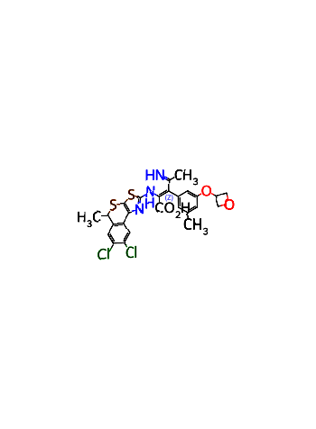 CC(=N)/C(=C(\Nc1nc2c(s1)SC(C)c1cc(Cl)c(Cl)cc1-2)C(=O)O)c1cc(C)cc(OC2COC2)c1